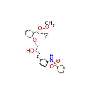 COC(=O)C1(CCc2ccccc2OCC[C@@H](O)/C=C/c2cccc(NS(=O)(=O)c3ccccc3)c2)CC1